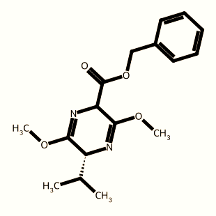 COC1=N[C@H](C(C)C)C(OC)=NC1C(=O)OCc1ccccc1